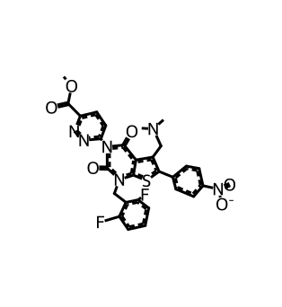 COC(=O)c1ccc(-n2c(=O)c3c(CN(C)C)c(-c4ccc([N+](=O)[O-])cc4)sc3n(Cc3c(F)cccc3F)c2=O)nn1